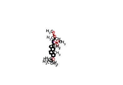 COCOC(C)(C)C/C=C\[C@](C)(OC(=O)OC)[C@H]1CCC2C3CC=C4CC(O[Si](C)(C)C(C)(C)C)CC[C@]4(C)C3CC[C@@]21C